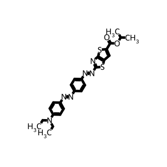 CCN(CC)c1ccc(N=Nc2ccc(N=Nc3nc4sc(C(=O)OC(C)C)cc4s3)cc2)cc1